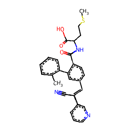 CSCCC(NC(=O)c1ccc(C=C(C#N)c2cccnc2)cc1-c1ccccc1C)C(=O)O